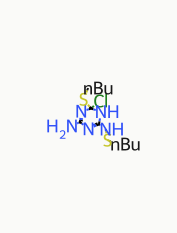 CCCCSNC1=NC(N)=NC(Cl)(SCCCC)N1